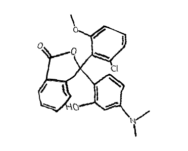 COc1cccc(Cl)c1C1(c2ccc(N(C)C)cc2O)OC(=O)c2ccccc21